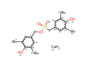 CC(C)(C)c1cc(COS(=O)(=O)Cc2cc(C(C)(C)C)c(O)c(C(C)(C)C)c2)cc(C(C)(C)C)c1O.[CaH2]